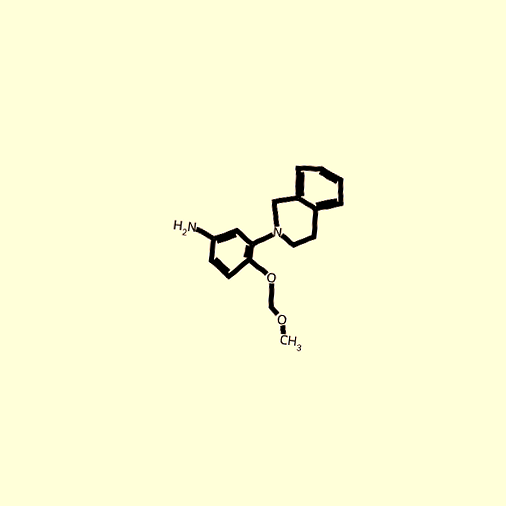 COCOc1ccc(N)cc1N1CCc2ccccc2C1